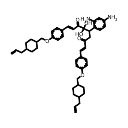 C=CCC1CCC(COc2ccc(C=CC(=O)CC(c3ccc(N)cc3N)C(O)(O)C(=O)C=Cc3ccc(OCC4CCC(CC=C)CC4)cc3)cc2)CC1